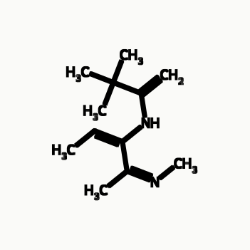 C=C(NC(=C/C)/C(C)=N\C)C(C)(C)C